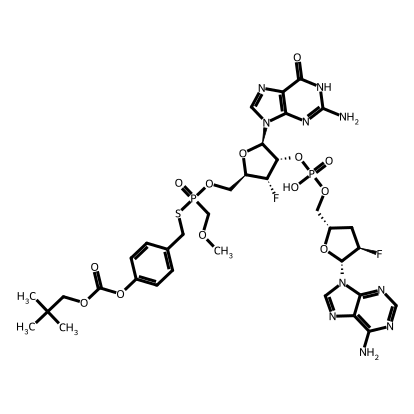 COCP(=O)(OC[C@H]1O[C@@H](n2cnc3c(=O)[nH]c(N)nc32)[C@H](OP(=O)(O)OC[C@@H]2C[C@@H](F)[C@H](n3cnc4c(N)ncnc43)O2)[C@@H]1F)SCc1ccc(OC(=O)OCC(C)(C)C)cc1